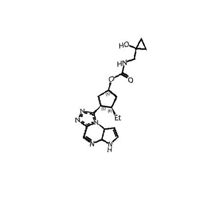 CC[C@@H]1C[C@H](OC(=O)NCC2(O)CC2)C[C@@H]1c1nnc2n1C1C=CNC1N=C2